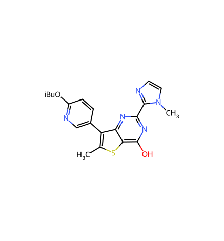 Cc1sc2c(O)nc(-c3nccn3C)nc2c1-c1ccc(OCC(C)C)nc1